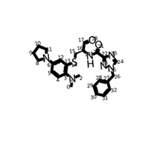 CN(C)c1ccc(N2CCCC2)cc1SC[C@@H](C=O)NC(=O)c1ncn(Cc2ccccc2)n1